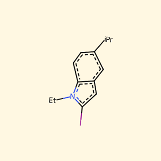 CCn1c(I)cc2cc(C(C)C)ccc21